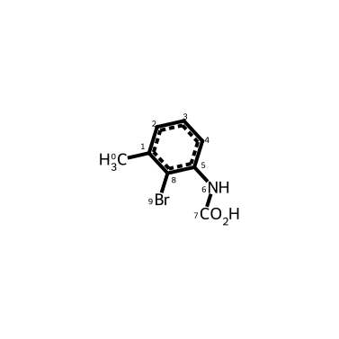 Cc1cccc(NC(=O)O)c1Br